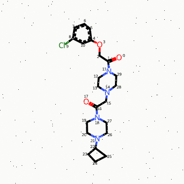 O=C(COc1cccc(Cl)c1)N1CCN(CC(=O)N2CCN(C3CCC3)CC2)CC1